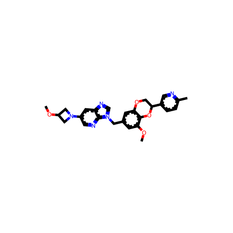 COc1cc(Cn2cnc3cc(N4CC(OC)C4)cnc32)cc2c1OC(c1ccc(C)nc1)CO2